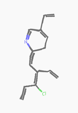 C=CC1=CC/C(=C\C(C=C)=C(\Cl)C=C)N=C1